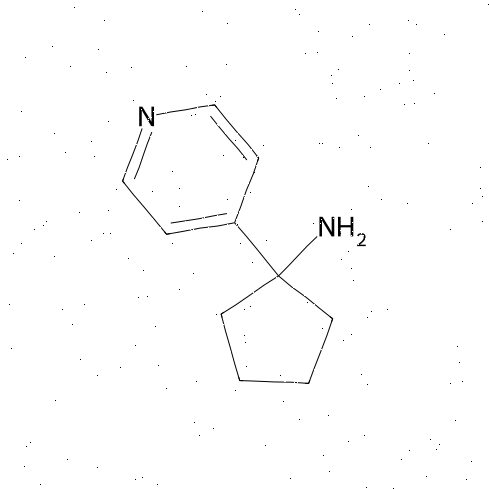 NC1(c2ccncc2)CCCC1